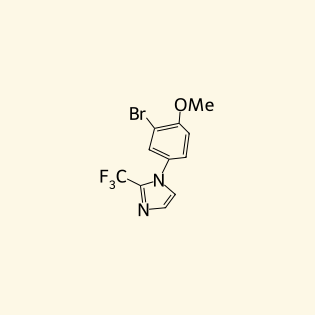 COc1ccc(-n2ccnc2C(F)(F)F)cc1Br